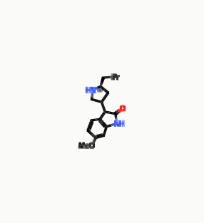 COc1ccc2c(c1)NC(=O)C2C1CN[C@@H](CC(C)C)C1